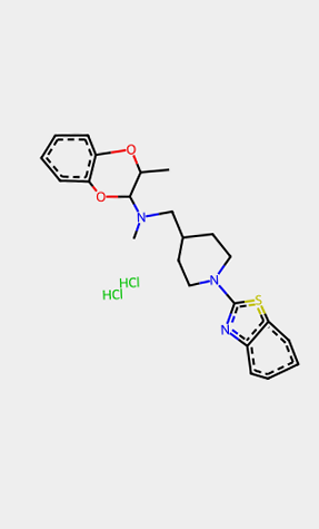 CC1Oc2ccccc2OC1N(C)CC1CCN(c2nc3ccccc3s2)CC1.Cl.Cl